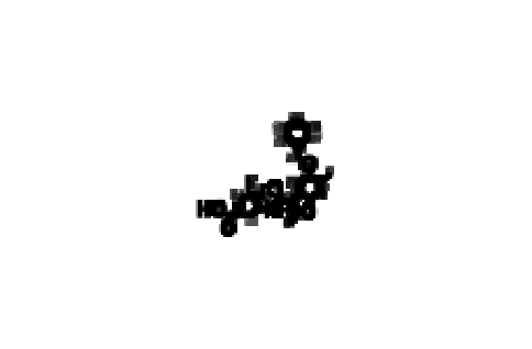 Cc1cc2oc(C)c(C(=O)NC3CN(C(=O)O)CC3(F)F)c2cc1OCc1ccccc1